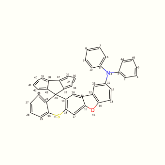 c1ccc(N(c2ccccc2)c2ccc3oc4cc5c(cc4c3c2)C2(c3ccccc3S5)c3ccccc3-c3ccccc32)cc1